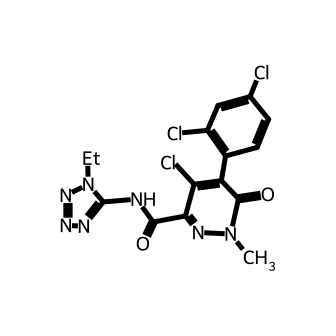 CCn1nnnc1NC(=O)c1nn(C)c(=O)c(-c2ccc(Cl)cc2Cl)c1Cl